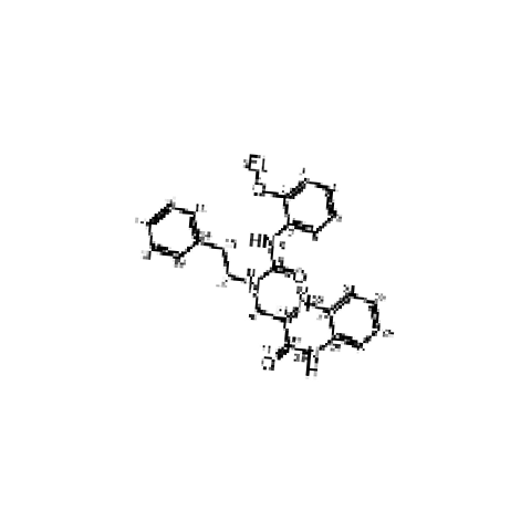 CCOc1ccccc1NC(=O)N(CCc1ccccc1)Cc1nc2ccccc2[nH]c1=O